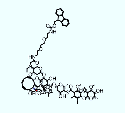 CCN(CC(=O)NCCOCCOCCNC(=O)OCC1c2ccccc2-c2ccccc21)[C@H]1CO[C@@H](O[C@H]2[C@H](O[C@H]3C#CC=CC#C[C@]4(O)CC(=O)C(NC(=O)OC)=C3/C4=C\CSSC(C)C)O[C@H](C)[C@@H](NO[C@H]3C[C@H](O)[C@H](SC(=O)c4c(C)c(I)c(O[C@@H]5O[C@@H](C)[C@H](O)[C@@H](OC)[C@H]5O)c(OC)c4OC)[C@@H](C)O3)[C@@H]2O)C[C@@H]1OC